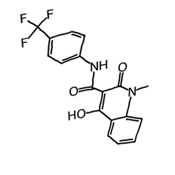 Cn1c(=O)c(C(=O)Nc2ccc(C(F)(F)F)cc2)c(O)c2ccccc21